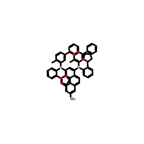 Cc1ccc(-c2ccccc2)cc1N(c1ccccc1C1CCCC1)c1cc(N(c2cc(-c3ccccc3)ccc2C)c2ccccc2C2CCCC2)c2ccc3cc(C(C)(C)C)cc4ccc1c2c43